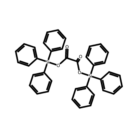 O=C(O[Si](c1ccccc1)(c1ccccc1)c1ccccc1)C(=O)O[Si](c1ccccc1)(c1ccccc1)c1ccccc1